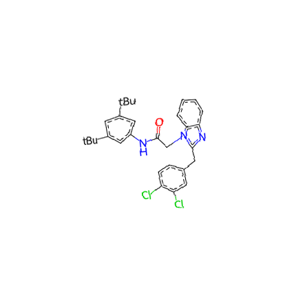 CC(C)(C)c1cc(NC(=O)Cn2c(Cc3ccc(Cl)c(Cl)c3)nc3ccccc32)cc(C(C)(C)C)c1